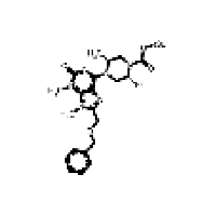 CC[C@@H]1CN(c2nc(=O)n(C)c3c2nc(COCc2ccccc2)n3C)[C@@H](C)CN1C(=O)OC(C)(C)C